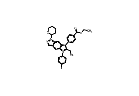 CCOC(=O)c1ccc(-c2c(CO)n(-c3ccc(F)cc3)c3cc4cnn(C5CCCCO5)c4cc23)cc1